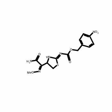 CON=C(C(N)=O)C1CSC(=NC(=O)OCc2ccc([N+](=O)[O-])cc2)N1